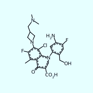 Cc1c(F)c(N2CC(CN(C)C)C2)c(Cl)c2c1c(=O)c(C(=O)O)cn2-c1cc(N)c(F)cc1CO